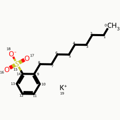 CCCCCCCCCc1ccccc1S(=O)(=O)[O-].[K+]